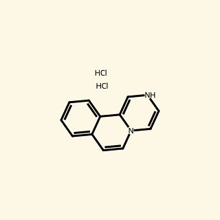 C1=CN2C=Cc3ccccc3C2=CN1.Cl.Cl